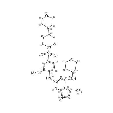 COc1cc(S(=O)(=O)N2CCC(N3CCOCC3)CC2)ccc1Nc1cc(NC2CCCCC2)c2c(C(F)(F)F)c[nH]c2n1